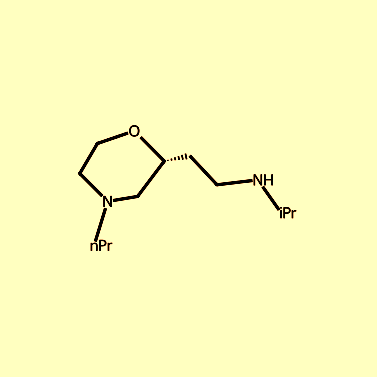 CCCN1CCO[C@H](CCNC(C)C)C1